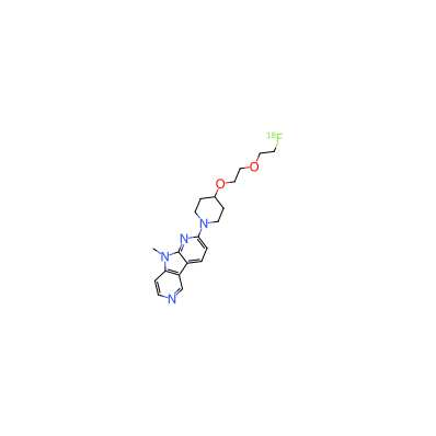 Cn1c2ccncc2c2ccc(N3CCC(OCCOCC[18F])CC3)nc21